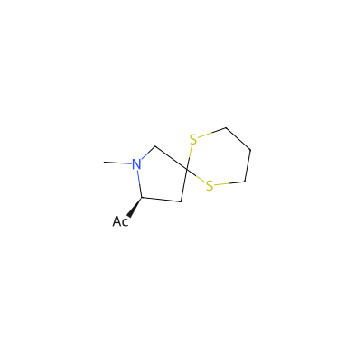 CC(=O)[C@@H]1CC2(CN1C)SCCCS2